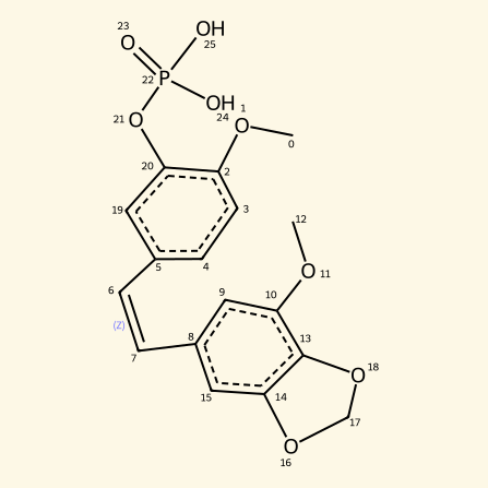 COc1ccc(/C=C\c2cc(OC)c3c(c2)OCO3)cc1OP(=O)(O)O